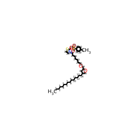 CCCCCCCCCCCCCCCC1COC(COCCCCCCCN2C=CSC2OS(=O)(=O)c2ccc(C)cc2)C1